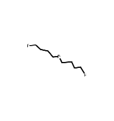 FCCCC[P]CCCCF